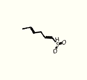 CC=CCC=C[SH](=O)=O